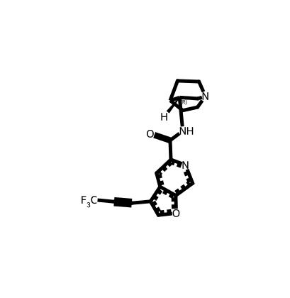 O=C(N[C@H]1CN2CCC1CC2)c1cc2c(C#CC(F)(F)F)coc2cn1